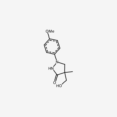 COc1ccc(N2CC(C)(CO)C(=O)N2)cc1